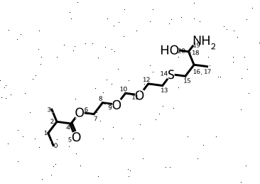 CCC(C)C(=O)OCCOCOCCSCC(C)C(N)O